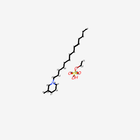 CCCCCCCCCCCCCCN1CCCC(C)C1.CCOS(=O)(=O)O